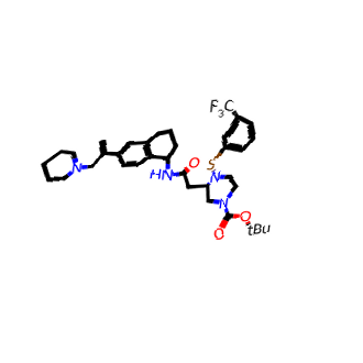 C=C(CN1CCCCC1)c1ccc2c(c1)CCCC2NC(=O)CC1CN(C(=O)OC(C)(C)C)CCN1Sc1cccc(C(F)(F)F)c1